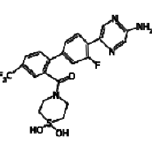 Nc1cnc(-c2ccc(-c3ccc(C(F)(F)F)cc3C(=O)N3CCS(O)(O)CC3)cc2F)cn1